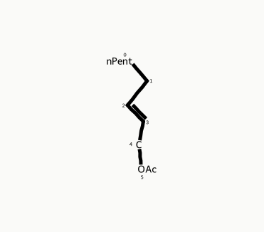 CCCCCCC=CCOC(C)=O